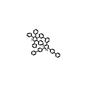 c1ccc(-c2ccc(-c3cc(-c4cccc(-c5cccc(-c6c(-c7ccccc7)c(-c7ccccc7)nc(-c7ccccc7)c6-c6ccccc6)c5)c4)nc(-c4ccc(-c5ccccc5)cc4)n3)cc2)cc1